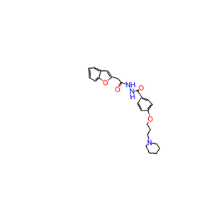 O=C(Cc1cc2ccccc2o1)NNC(=O)c1ccc(OCCCN2CCCCC2)cc1